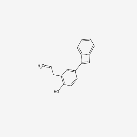 C=CCc1cc(C2=Cc3ccccc32)ccc1O